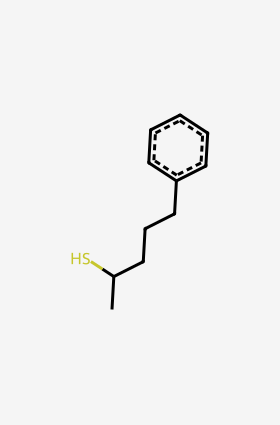 CC(S)CCCc1ccccc1